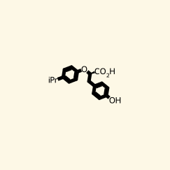 CC(C)c1ccc(O[C@H](Cc2ccc(O)cc2)C(=O)O)cc1